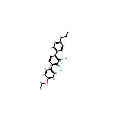 CCCc1ccc(-c2ccc(-c3ccc(OCC)cc3)c(Cl)c2F)cc1